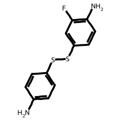 Nc1ccc(SSc2ccc(N)c(F)c2)cc1